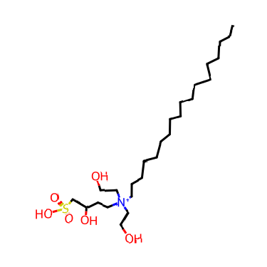 CCCCCCCCCCCCCCCCCC[N+](CCO)(CCO)CCC(O)CS(=O)(=O)O